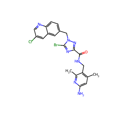 Cc1cc(N)nc(C)c1CNC(=O)c1nc(Br)n(Cc2ccc3ncc(Cl)cc3c2)n1